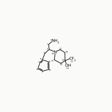 NCC(Cc1ccccc1)N1CCC(O)(C(F)(F)F)CC1